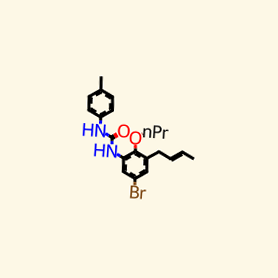 C/C=C/Cc1cc(Br)cc(NC(=O)Nc2ccc(C)cc2)c1OCCC